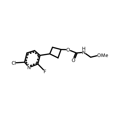 COCNC(=O)OC1CC(c2ccc(Cl)nc2F)C1